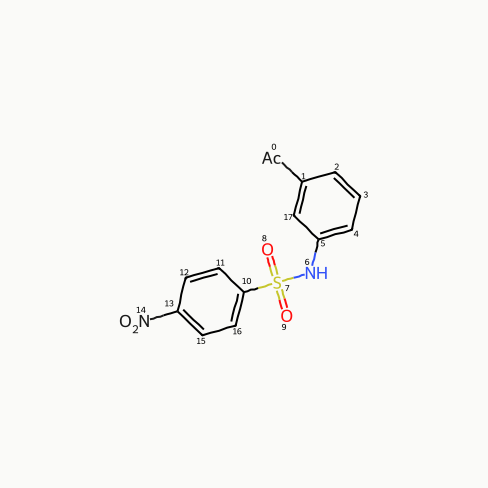 CC(=O)c1cccc(NS(=O)(=O)c2ccc([N+](=O)[O-])cc2)c1